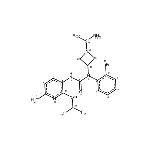 Cc1ccc(NC(=O)N(c2ccccc2C(C)C)C2CN([S+](N)[O-])C2)c(OC(F)F)n1